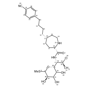 CSC1O[C@H]([C@H](NC(=O)[C@@H]2CC[C@H](CCCCc3ccc(C#N)cc3)CCN2)[C@H](C)Cl)C(O)C(O)[C@H]1O